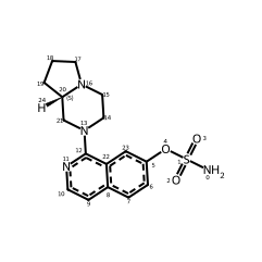 NS(=O)(=O)Oc1ccc2ccnc(N3CCN4CCC[C@H]4C3)c2c1